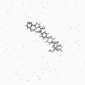 Cc1ccnnc1N1CC[C@H](C(=O)Nc2ccc(C3CCN(C(=O)OC(C)(C)C)CC3)cc2)C1